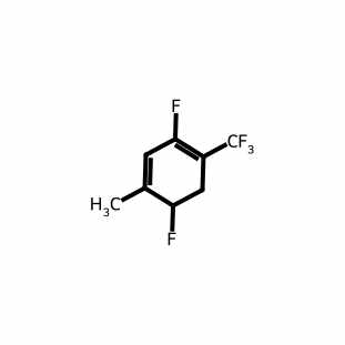 CC1=CC(F)=C(C(F)(F)F)CC1F